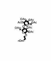 CCCCCCCCCCCCO[C@@H]1O[C@H](COC(C)=O)[C@@H](O[C@@H]2O[C@H](COC(C)=O)[C@H](OC(C)=O)[C@H](OC(C)=O)[C@H]2OC(C)=O)[C@H](OC(C)=O)[C@H]1OC(C)=O